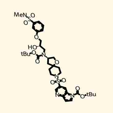 CNS(=O)(=O)c1cccc(OC[C@@H](O)CN(C(=O)OC(C)(C)C)[C@H]2COC3(CCN(S(=O)(=O)c4cnc5ccn(C(=O)OC(C)(C)C)c5c4)CC3)C2)c1